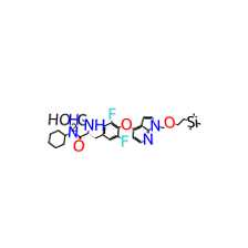 C[Si](C)(C)CCOCn1ccc2c(Oc3c(F)cc(C[C@@H](NC(=O)O)C(=O)NC4CCCCC4)cc3F)ccnc21